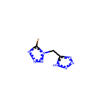 [S]c1nnnn1Cc1nnn[nH]1